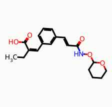 CCC(=Cc1cccc(C=CC(=O)NOC2CCCCO2)c1)C(=O)O